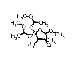 COC(C)O[Si](OC(C)OC)(OC(C)OC)C(C)CCl